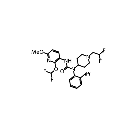 COc1ccc(NC(=O)N(c2ccccc2C(C)C)C2CCN(CC(F)F)CC2)c(OC(F)F)n1